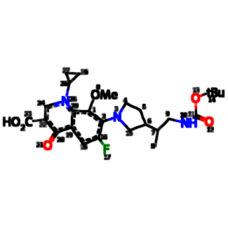 COc1c(N2CCC(C(C)CNC(=O)OC(C)(C)C)C2)c(F)cc2c(=O)c(C(=O)O)cn(C3CC3)c12